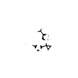 Cc1nnc(C2(n3cc(C(C)C)nn3)CC2)o1